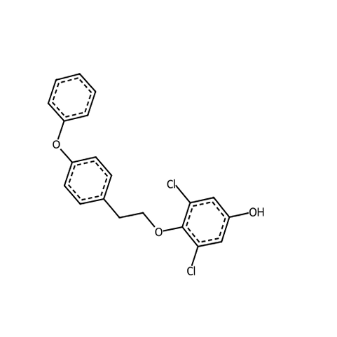 Oc1cc(Cl)c(OCCc2ccc(Oc3ccccc3)cc2)c(Cl)c1